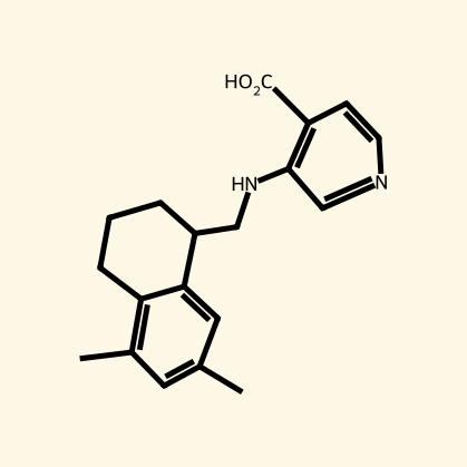 Cc1cc(C)c2c(c1)C(CNc1cnccc1C(=O)O)CCC2